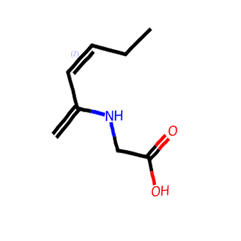 C=C(/C=C\CC)NCC(=O)O